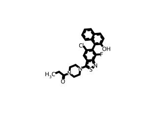 CCC(=O)N1CCN(c2snc3c(F)c(-c4c(O)ccc5ccccc45)c(Cl)cc23)CC1